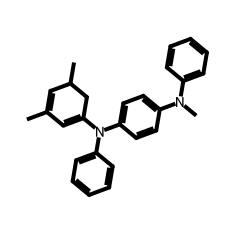 CC1=CC(C)CC(N(c2ccccc2)c2ccc(N(C)c3ccccc3)cc2)=C1